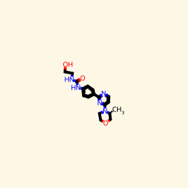 C[C@H]1COCCN1c1ccnc(-c2ccc(NC(=O)NCCO)cc2)n1